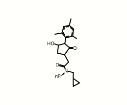 CCCN(CC1CC1)C(=O)CC1CC(O)C(c2c(C)cc(C)cc2C)C1=O